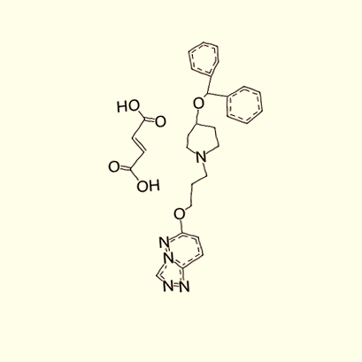 O=C(O)C=CC(=O)O.c1ccc(C(OC2CCN(CCCOc3ccc4nncn4n3)CC2)c2ccccc2)cc1